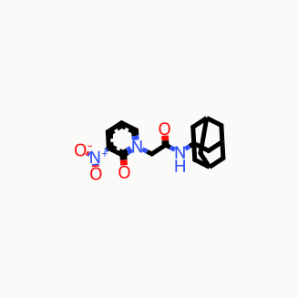 O=C(Cn1cccc([N+](=O)[O-])c1=O)NC12CC3CC(CC(C3)C1)C2